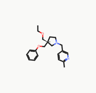 CCOC[C@@]1(COc2ccccc2)CCN(Cc2ccc(C)nc2)C1